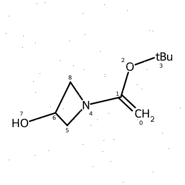 C=C(OC(C)(C)C)N1CC(O)C1